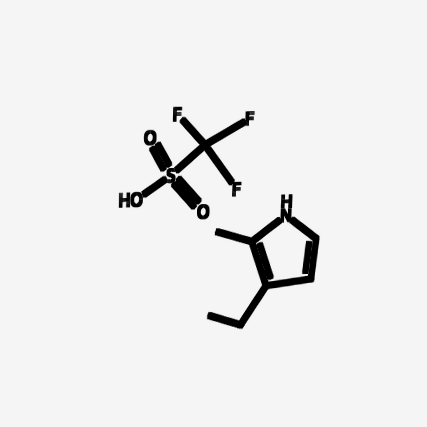 CCc1cc[nH]c1C.O=S(=O)(O)C(F)(F)F